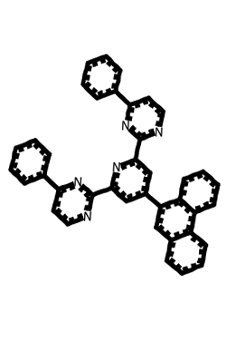 c1ccc(-c2ccnc(-c3cc(-c4cc5ccccc5c5ccccc45)cc(-c4nccc(-c5ccccc5)n4)n3)n2)cc1